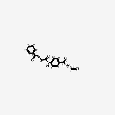 O=CNNC(=O)c1ccc(NC(=O)CSC(=O)c2ccccc2)cc1